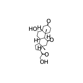 C[C@]12CCC(=O)C[C@H]1[C@@H](O)C[C@H]1[C@@H]3CC[C@H](C(=O)CO)[C@@]3(C)CC(=O)[C@@H]12